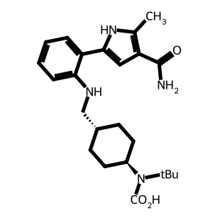 Cc1[nH]c(-c2ccccc2NC[C@H]2CC[C@H](N(C(=O)O)C(C)(C)C)CC2)cc1C(N)=O